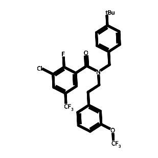 CC(C)(C)c1ccc(CN(CCc2cccc(OC(F)(F)F)c2)C(=O)c2cc(C(F)(F)F)cc(Cl)c2F)cc1